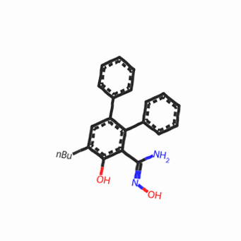 CCCCc1cc(-c2ccccc2)c(-c2ccccc2)c(/C(N)=N/O)c1O